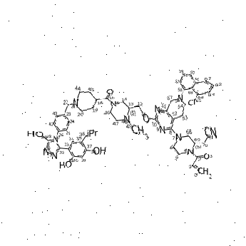 C=CC(=O)N1CCN(c2nc(OC[C@@H]3CN(C(=O)C4CCN(Cc5ccc(-n6c(O)nnc6-c6cc(C(C)C)c(O)cc6O)cc5)CC4)CCN3C)nc3c2CCN(c2cccc4cccc(Cl)c24)C3)C[C@@H]1CC#N